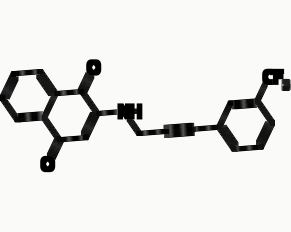 O=C1C=C(NCC#Cc2cccc(C(F)(F)F)c2)C(=O)c2ccccc21